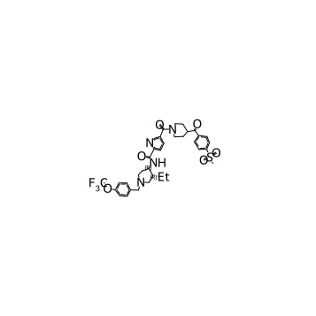 CC[C@@H]1CN(Cc2ccc(OC(F)(F)F)cc2)CC[C@H]1NC(=O)c1ccc(C(=O)N2CCC(C(=O)c3ccc(S(C)(=O)=O)cc3)CC2)cn1